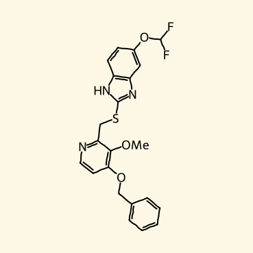 COc1c(OCc2ccccc2)ccnc1CSc1nc2cc(OC(F)F)ccc2[nH]1